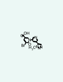 Cn1nncc1-c1cncc(-n2cc(C(=O)O)cc(Br)c2=O)c1